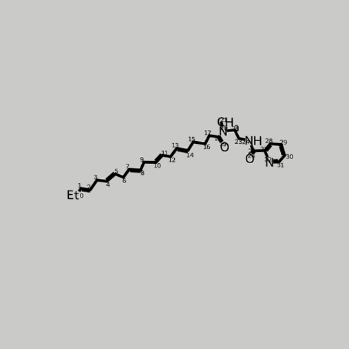 CCC=CCC=CCC=CCC=CCC=CCCCC(=O)N(C)CCNC(=O)c1ccccn1